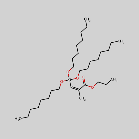 CCCCCCCCO[Si](C=C(C)C(=O)OCCC)(OCCCCCCCC)OCCCCCCCC